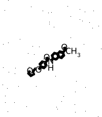 CC(=O)c1ccc2c(c1)CCC(NC(=O)c1ccc(OCC3CCCO3)cc1)C2